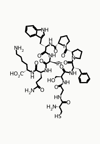 CC(C)[C@H](NC(=O)[C@H](Cc1c[nH]c2ccccc12)NC(=O)[C@@H]1CCCN1C(=O)[C@@H]1CCCN1C(=O)[C@H](Cc1ccccc1)NC(=O)[C@H](CO)NC(=O)CNC(=O)[C@@H](N)CS)C(=O)N[C@@H](CCC(N)=O)C(=O)N[C@@H](CCCCN)C(=O)O